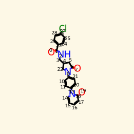 O=C(NCC1CC(=O)N(c2ccc(-n3ccccc3=O)cc2)C1)c1ccc(Cl)cc1